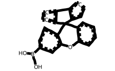 OB(O)c1ccc2c(c1)Oc1ccccc1C21c2ccccc2-c2ccccc21